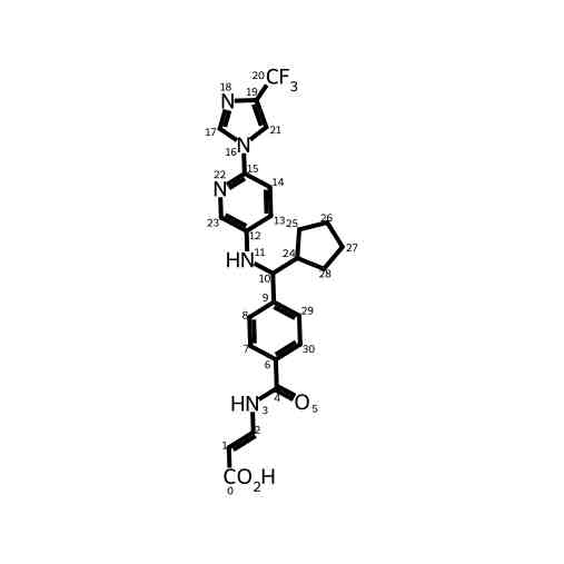 O=C(O)/C=C/NC(=O)c1ccc(C(Nc2ccc(-n3cnc(C(F)(F)F)c3)nc2)C2CCCC2)cc1